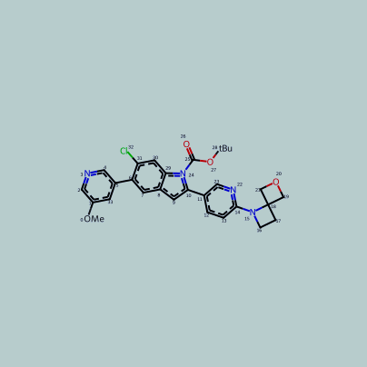 COc1cncc(-c2cc3cc(-c4ccc(N5CCC56COC6)nc4)n(C(=O)OC(C)(C)C)c3cc2Cl)c1